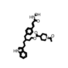 CC(=O)N1CCC(C(=O)OCCC(CCc2c[nH]c3ccccc23)Cc2ccc(/C=C/C(=O)NO)cc2)CC1